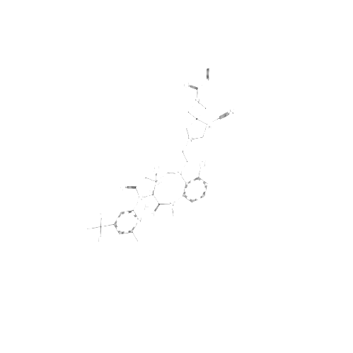 C=CC(=O)N1CC2(CN(CCN3C[C@H]4CC(=O)N(c5cc(C(F)(F)F)cc(C)n5)[C@@H]4C(=O)N(C)c4cccc(Cl)c43)C[C@@H]2C#N)C1